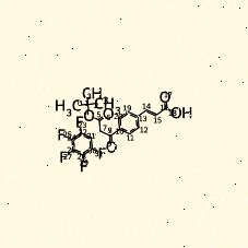 CC(C)(C)OC(=O)[C@H](C(=O)c1ccc(/C=C/C(=O)O)cc1)c1c(F)c(F)c(F)c(F)c1F